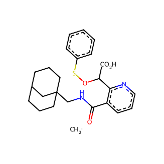 O=C(NCC12CCCC(CCC1)C2)c1cccnc1C(OSc1ccccc1)C(=O)O.[CH2]